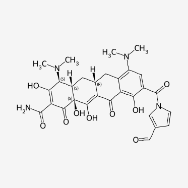 CN(C)c1cc(C(=O)n2ccc(C=O)c2)c(O)c2c1C[C@H]1C[C@H]3[C@H](N(C)C)C(O)=C(C(N)=O)C(=O)[C@@]3(O)C(O)=C1C2=O